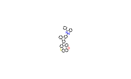 c1ccc(-c2nc(-c3ccc4c5ccc(-c6ccc7sc8ccc9ccc%10oc%11cccc%12c%11c%10c9c8c7c6-%12)cc5c5ccccc5c4c3)nc3ccccc23)cc1